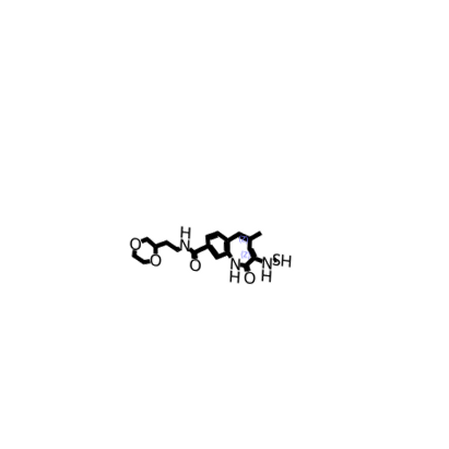 CC1=C/c2ccc(C(=O)NCCC3COCCO3)cc2NC(=O)\C(NS)=C\1